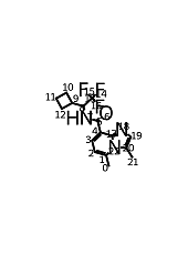 Cc1ccc(C(=O)NC(C2CCC2)C(F)(F)F)c2ncc(C)n12